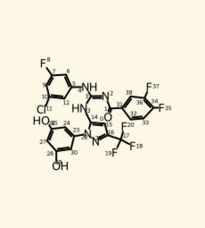 O=C(/N=C(/Nc1cc(F)cc(Cl)c1)Nc1cc(C(F)(F)F)nn1-c1cc(O)cc(O)c1)c1ccc(F)c(F)c1